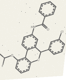 O=C(Nc1ccc2c(c1)C(c1cccc(Cl)c1)Oc1cccc(OC(F)F)c1-2)c1ccccc1